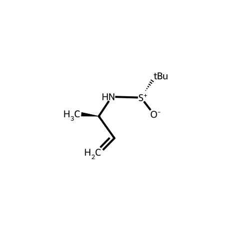 C=C[C@@H](C)N[S@@+]([O-])C(C)(C)C